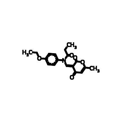 CCOc1ccc(N(C=C2C(=O)C=C(C)OC2=O)C(=O)CC)cc1